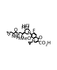 COc1c(N2CCCC(=C(F)CNC(=O)[C@@H](N)CN(C)C)C2)c(F)cc2c(=O)c(C(=O)O)cn(C3CC3)c12.Cl.Cl